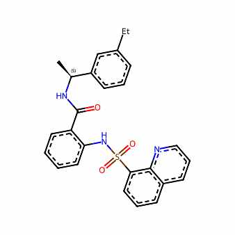 CCc1cccc([C@H](C)NC(=O)c2ccccc2NS(=O)(=O)c2cccc3cccnc23)c1